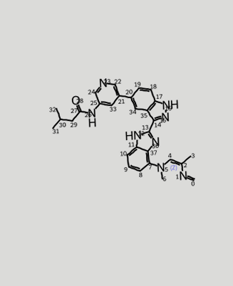 C=N/C(C)=C\N(C)c1cccc2[nH]c(-c3n[nH]c4ccc(-c5cncc(NC(=O)CC(C)C)c5)cc34)nc12